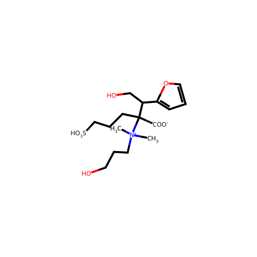 C[N+](C)(CCCO)C(CCCS(=O)(=O)O)(C(=O)[O-])C(CO)c1ccco1